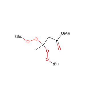 COC(=O)CC(C)(OOC(C)(C)C)OOC(C)(C)C